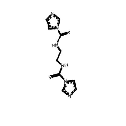 S=C(NCCNC(=S)n1ccnc1)n1ccnc1